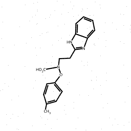 Cc1ccc(ON(CCc2nc3ccccc3[nH]2)C(=O)O)cc1